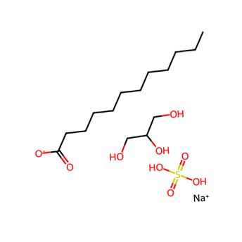 CCCCCCCCCCCC(=O)[O-].O=S(=O)(O)O.OCC(O)CO.[Na+]